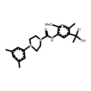 CCC(C)(O)c1cc(NC(=O)N2CCN(c3cc(C)cc(C)c3)CC2)c(OC)nc1C